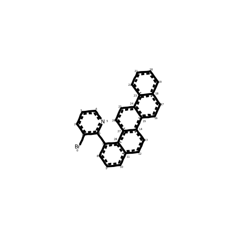 Brc1cccnc1-c1cccc2ccc3c4ccc5ccccc5c4ccc3c12